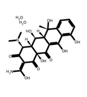 CN(C)[C@@H]1C(=O)/C(=C(\N)O)C(=O)[C@@]2(O)C(=O)C3=C(O)c4c(O)cccc4[C@@](C)(O)[C@H]3[C@H](O)[C@@H]12.O.O